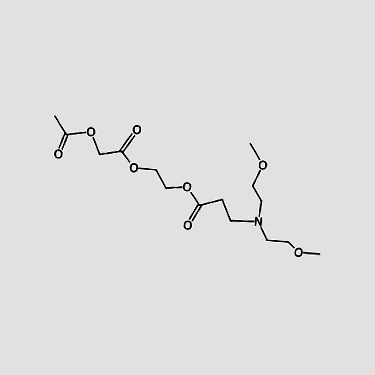 COCCN(CCOC)CCC(=O)OCCOC(=O)COC(C)=O